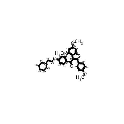 COc1ccc(-c2sc3cc(OC)cc(OC)c3c2C(=O)c2ccc(OCCN3CCCCC3)cc2)cc1